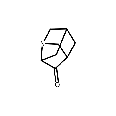 O=C1C2CC3CC1N(C3)C2